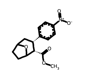 COC(=O)[C@@H]1C2CCC(C[C@@H]1c1ccc([N+](=O)[O-])cc1)O2